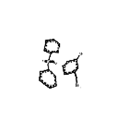 Nc1cccc(O)c1.O=S(=O)(c1ccccc1)c1ccccc1